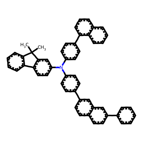 CC1(C)c2ccccc2-c2ccc(N(c3ccc(-c4ccc5ccc(-c6ccccc6)cc5c4)cc3)c3ccc(-c4cccc5ccccc45)cc3)cc21